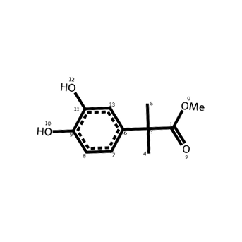 COC(=O)C(C)(C)c1ccc(O)c(O)c1